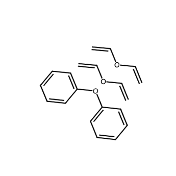 C=COC=C.C=COC=C.c1ccc(Oc2ccccc2)cc1